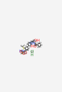 CC(C)Sc1cc(-c2ccc(C[C@@H](CO)NC[C@@H](O)c3ccccc3)cc2)ccc1C(=O)NS(C)(=O)=O.Cl